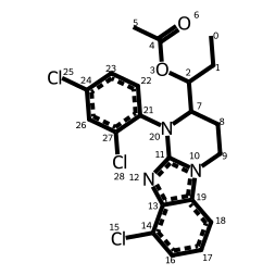 CCC(OC(C)=O)C1CCn2c(nc3c(Cl)cccc32)N1c1ccc(Cl)cc1Cl